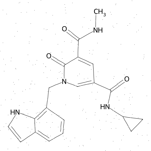 CNC(=O)c1cc(C(=O)NC2CC2)cn(Cc2cccc3cc[nH]c23)c1=O